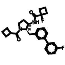 O=C(C1CCC1)N1CC[C@H](NC(=O)C2(F)CCC2)[C@@H]1Cc1cccc(-c2cccc(F)c2)c1